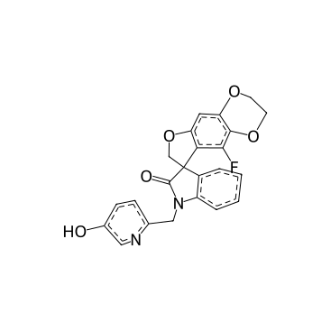 O=C1N(Cc2ccc(O)cn2)c2ccccc2C12COc1cc3c(c(F)c12)OCCO3